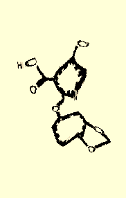 O=C(O)c1cc(Cl)cnc1Oc1ccc2c(c1)OCO2